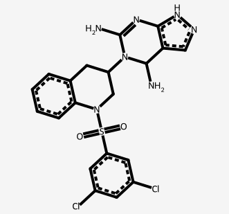 NC1=Nc2[nH]ncc2C(N)N1C1Cc2ccccc2N(S(=O)(=O)c2cc(Cl)cc(Cl)c2)C1